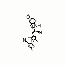 COc1cnc2[nH]c(C(C#N)=Cc3cc(C)n(-c4sc(C)cc4C#N)c3C)nc2c1